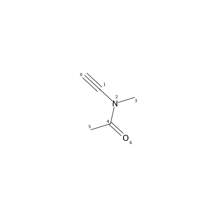 C#CN(C)C(C)=O